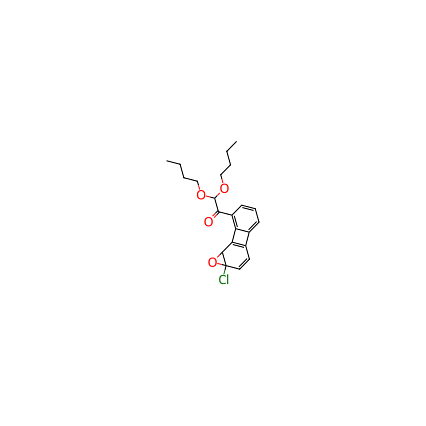 CCCCOC(OCCCC)C(=O)c1cccc2c1C1=C2C=CC2(Cl)OC12